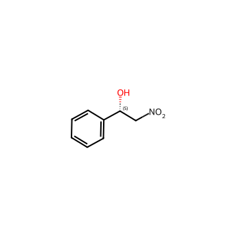 O=[N+]([O-])C[C@@H](O)c1ccccc1